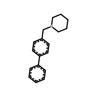 c1ccc(-c2ccc(CN3CCCCC3)cc2)cc1